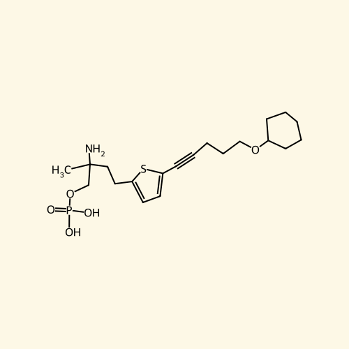 CC(N)(CCc1ccc(C#CCCCOC2CCCCC2)s1)COP(=O)(O)O